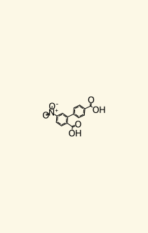 O=C(O)c1ccc(-c2cc([N+](=O)[O-])ccc2C(=O)O)cc1